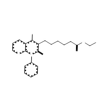 CCOC(=O)CCCCCc1c(O)c2cccnc2n(-c2ccccc2)c1=O